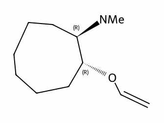 C=CO[C@@H]1CCCCCC[C@H]1NC